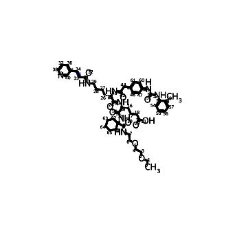 CCOCCOCCNC(=O)C1(NC(=O)[C@H](CCCC(=O)O)NC(=O)[C@H](CCCCNC(=O)/C=C/c2cccnc2)NC(=O)Cc2ccc(NC(=O)Nc3ccccc3C)cc2)CCCCC1